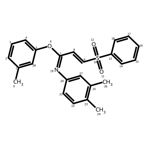 Cc1cccc(OC(C=CS(=O)(=O)c2ccccc2)=Nc2ccc(C)c(C)c2)c1